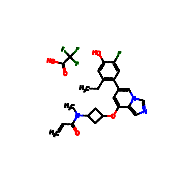 C=CC(=O)N(C)C1CC(Oc2cc(-c3cc(F)c(O)cc3CC)cn3cncc23)C1.O=C(O)C(F)(F)F